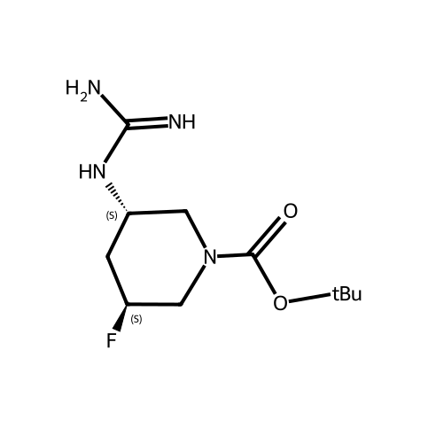 CC(C)(C)OC(=O)N1C[C@@H](F)C[C@H](NC(=N)N)C1